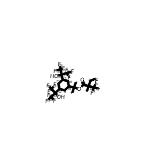 CCC(C)(C(=O)OC(C)(C)C1CC(C(O)(C(F)(F)F)C(F)(F)F)CC(C(O)(C(F)(F)F)C(F)(F)F)C1)C(F)(F)F